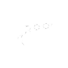 C=CC/C(Cl)=C\C=C1/CN=CC(c2ccc(-c3ccc(F)cc3)cc2)=N1